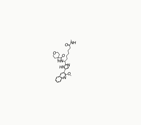 CNC(=O)CCCCCC(NC(=O)C1(C)CCOCC1)c1ncc(-c2cc3ccccc3nc2OC)[nH]1